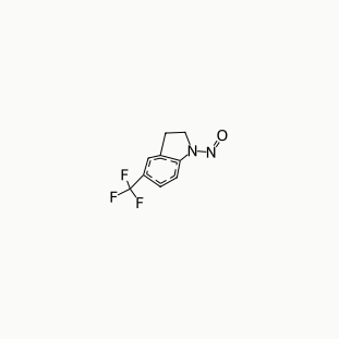 O=NN1CCc2cc(C(F)(F)F)ccc21